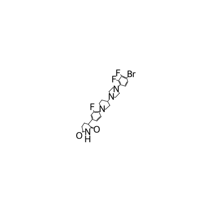 O=C1CCC(c2ccc(N3CCC(N4CCN(c5ccc(Br)c(F)c5F)CC4)CC3)c(F)c2)C(=O)N1